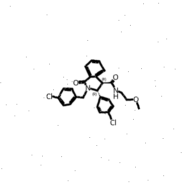 COCCNC(=O)[C@@H]1c2ccccc2C(=O)N(Cc2ccc(Cl)cc2)[C@H]1c1ccc(Cl)cc1